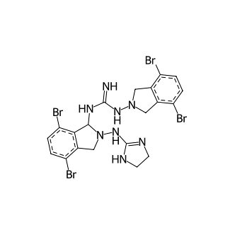 N=C(NC1c2c(Br)ccc(Br)c2CN1NC1=NCCN1)NN1Cc2c(Br)ccc(Br)c2C1